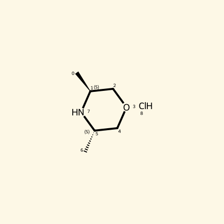 C[C@H]1COC[C@H](C)N1.Cl